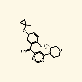 C[C@@H]1COCCN1c1cc(C(=N)C2=C(N)C=CC(OC3(C)CC3)C2)ncn1